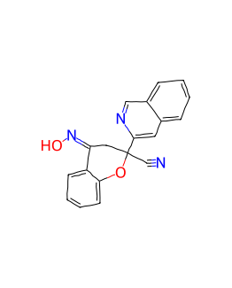 N#CC1(c2cc3ccccc3cn2)C/C(=N/O)c2ccccc2O1